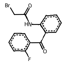 O=C(CBr)Nc1ccccc1C(=O)c1ccccc1F